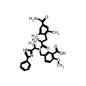 COc1ccc(CN(C(=O)C(N)Cc2c(C)cc(C(=O)[AsH2])cc2C)C(C)c2nc(-c3ccccc3)c[nH]2)cc1C(=O)O